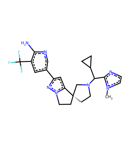 Cn1ccnc1C(C1CC1)N1CC[C@@]2(CCn3nc(-c4cnc(N)c(C(F)(F)F)c4)cc32)C1